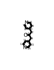 O=C(Cc1ccncc1)Cc1ccncc1